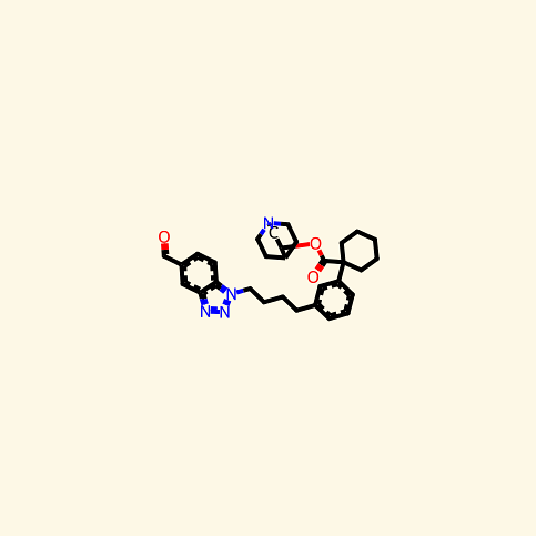 O=Cc1ccc2c(c1)nnn2CCCCc1cccc(C2(C(=O)OC3CN4CCC3CC4)CCCCC2)c1